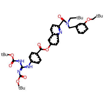 CC(C)(C)COc1cccc(CN(CC(C)(C)C)C(=O)c2ccc3cc(OC(=O)c4ccc(N/C(=N\C(=O)OC(C)(C)C)NC(=O)OC(C)(C)C)cc4)ccc3n2)c1